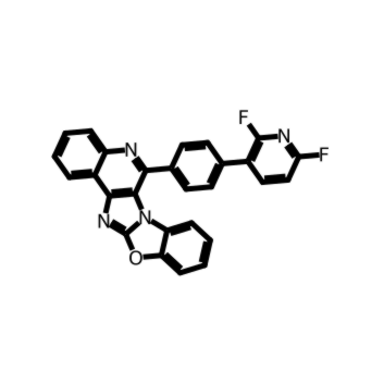 Fc1ccc(-c2ccc(-c3nc4ccccc4c4nc5oc6ccccc6n5c34)cc2)c(F)n1